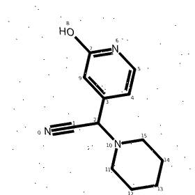 N#CC(c1ccnc(O)c1)N1CCCCC1